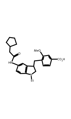 CCN1CC(Cc2ccc(C(=O)O)cc2OC)c2cc(NC(=O)CC3CCCC3)ccc21